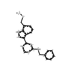 COCc1cccc2c(-c3ncnc(NCc4ccccc4)n3)n[nH]c12